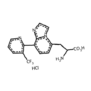 Cl.NC(Cc1ccc(-c2ncccc2C(F)(F)F)c2nccn12)C(=O)O